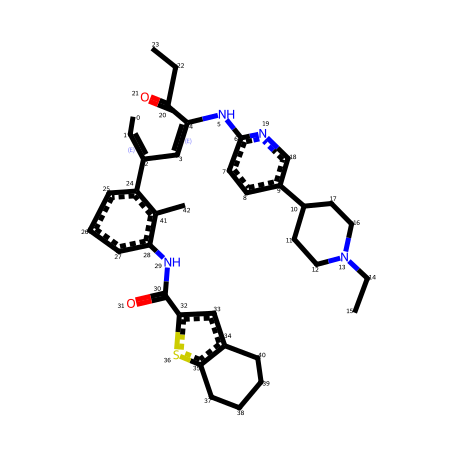 C/C=C(\C=C(\Nc1ccc(C2CCN(CC)CC2)cn1)C(=O)CC)c1cccc(NC(=O)c2cc3c(s2)CCCC3)c1C